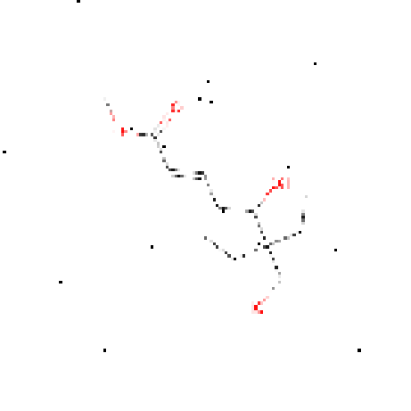 CCC(CC)(CO)C(O)CC=CC(=O)OC